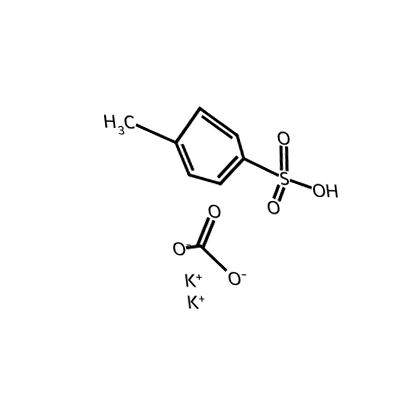 Cc1ccc(S(=O)(=O)O)cc1.O=C([O-])[O-].[K+].[K+]